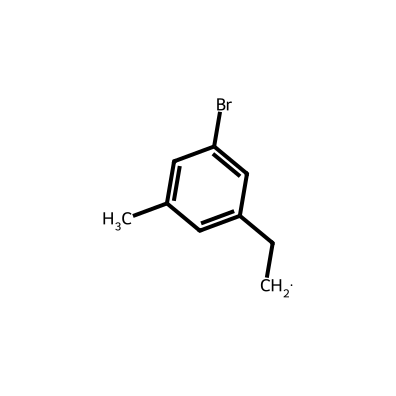 [CH2]Cc1cc(C)cc(Br)c1